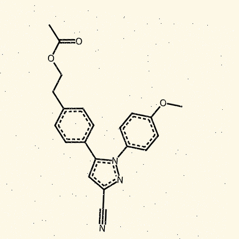 COc1ccc(-n2nc(C#N)cc2-c2ccc(CCOC(C)=O)cc2)cc1